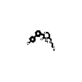 COCCNCC1CCOC(c2cccc(-c3ccc(Cl)cc3)c2)C(=O)N1